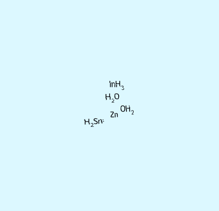 O.O.[InH3].[SnH2].[Zn]